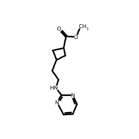 COC(=O)C1CC(CCNc2ncccn2)C1